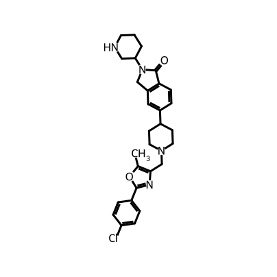 Cc1oc(-c2ccc(Cl)cc2)nc1CN1CCC(c2ccc3c(c2)CN(C2CCCNC2)C3=O)CC1